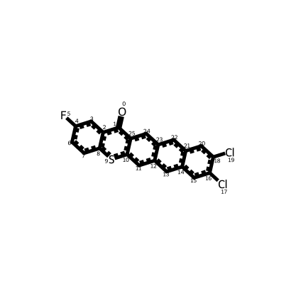 O=c1c2cc(F)ccc2sc2cc3cc4cc(Cl)c(Cl)cc4cc3cc12